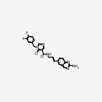 Nc1ncc2cc(/C=C/CNC(=O)c3cncn(Cc4ccc(F)c(F)c4)c3=O)ccc2n1